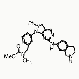 CCN1Cc2cnc(Nc3ccc4c(c3)CNCC4)nc2N1c1ccnc(CN(C)C(=O)OC)c1